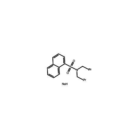 CC(C)CN(CC(C)C)S(=O)(=O)c1cccc2ccccc12.[NaH]